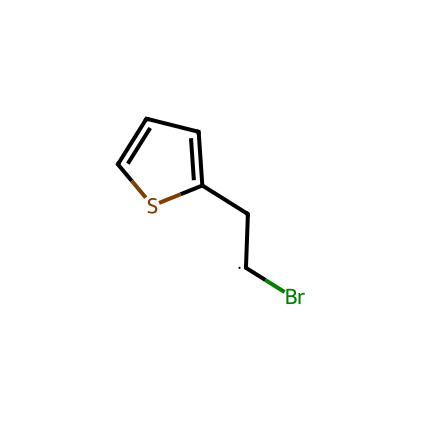 Br[CH]Cc1cccs1